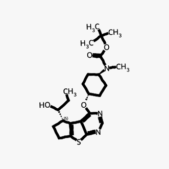 CCC(O)[C@H]1CCc2sc3ncnc(O[C@H]4CC[C@H](N(C)C(=O)OC(C)(C)C)CC4)c3c21